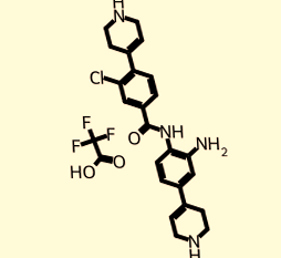 Nc1cc(C2=CCNCC2)ccc1NC(=O)c1ccc(C2=CCNCC2)c(Cl)c1.O=C(O)C(F)(F)F